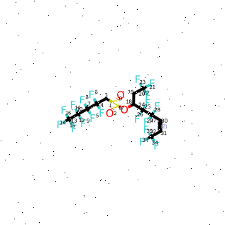 O=S(=O)(CC(F)(F)C(F)(F)C(F)(F)C(F)(F)F)OC(CC(F)(F)F)C(F)(F)C(F)(F)/C=C\C(F)(F)F